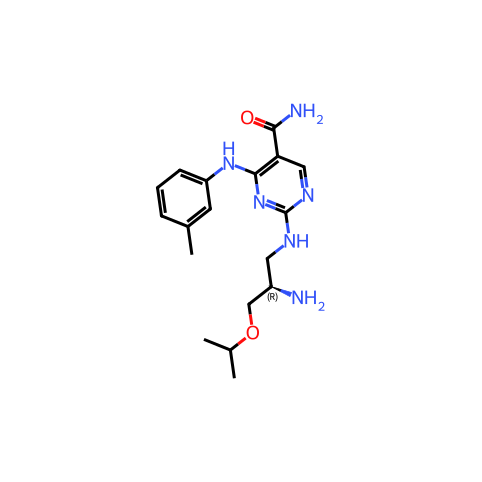 Cc1cccc(Nc2nc(NC[C@@H](N)COC(C)C)ncc2C(N)=O)c1